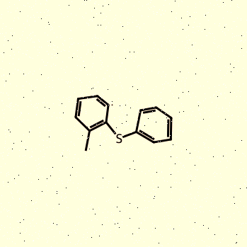 Cc1ccc[c]c1Sc1ccccc1